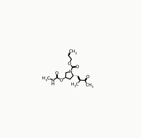 C=CCOC(=O)N1C[C@H](OC(=O)NC)C[C@H]1/C=C(\C)C(C)=O